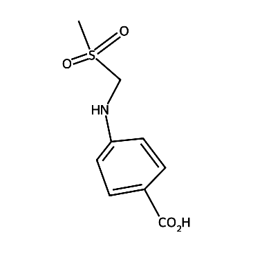 CS(=O)(=O)CNc1ccc(C(=O)O)cc1